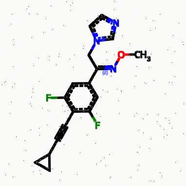 CO/N=C(\Cn1ccnc1)c1cc(F)c(C#CC2CC2)c(F)c1